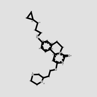 O=c1nc(OCCC2COCCO2)cc2n1CCc1cc(OCCCC3CC3)ccc1-2